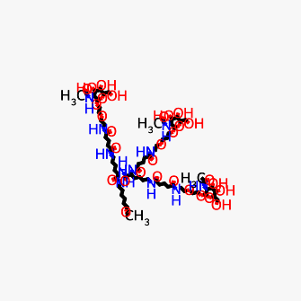 COCCCCCCNC(=O)C(CCCCNC(=O)CCCC(=O)NCCOCCOC1OC(CO)C(O)C(O)C1NC(C)=O)NC(=O)C(CCCCNC(=O)CCCC(=O)NCCOCCOC1OC(CO)C(O)C(O)C1NC(C)=O)NC(=O)CCCC(=O)NCCOCCCOC1OC(CO)C(O)C(O)C1NC(C)=O